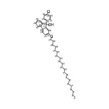 CCCCCCCCCCCCCCCCCCCCCCOc1ccc2c(c1)C(O)(c1ccc(Cl)cc1)c1ccccc1-2